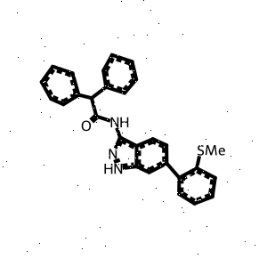 CSc1ccccc1-c1ccc2c(NC(=O)C(c3ccccc3)c3ccccc3)n[nH]c2c1